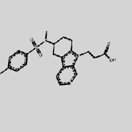 CN(C1CCc2c(c3ccncc3n2CCC(=O)O)C1)S(=O)(=O)c1ccc(F)cc1